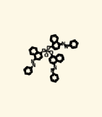 O=P(Oc1ccc(/N=N/c2ccccc2)c2ccccc12)(Oc1ccc(/N=N/c2ccccc2)c2ccccc12)Oc1ccc(/N=N/c2ccccc2)c2ccccc12